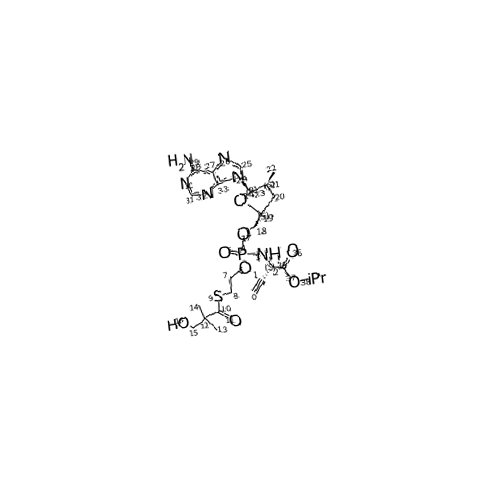 C#C[C@H](NP(=O)(OCCSC(=O)C(C)(C)CO)OC[C@@H]1C[C@H](C)[C@H](n2cnc3c(N)ncnc32)O1)C(=O)OC(C)C